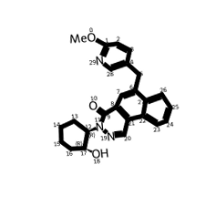 COc1ccc(Cc2cc3c(=O)n([C@@H]4CCCC[C@H]4O)ncc3c3ccccc23)cn1